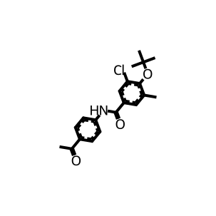 CC(=O)c1ccc(NC(=O)c2cc(C)c(OC(C)(C)C)c(Cl)c2)cc1